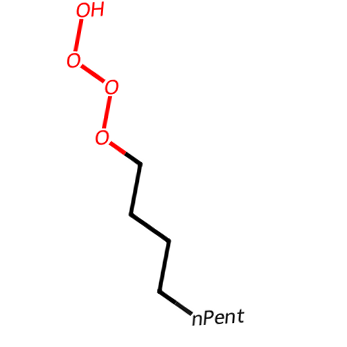 CCCCCCCCCOOOO